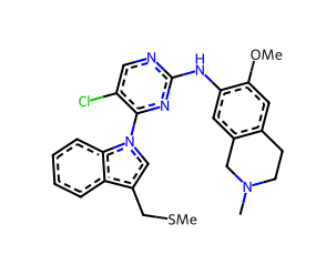 COc1cc2c(cc1Nc1ncc(Cl)c(-n3cc(CSC)c4ccccc43)n1)CN(C)CC2